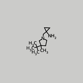 CC(C)(C)C1(C)CCN(CC2(N)CC2)C1